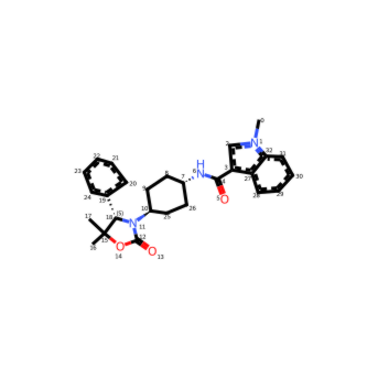 Cn1cc(C(=O)N[C@H]2CC[C@H](N3C(=O)OC(C)(C)[C@@H]3c3ccccc3)CC2)c2ccccc21